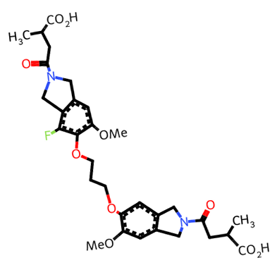 COc1cc2c(cc1OCCCOc1c(OC)cc3c(c1F)CN(C(=O)CC(C)C(=O)O)C3)CN(C(=O)CC(C)C(=O)O)C2